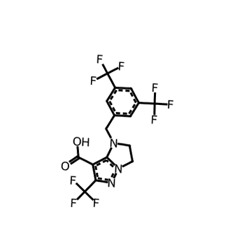 O=C(O)c1c(C(F)(F)F)nn2c1N(Cc1cc(C(F)(F)F)cc(C(F)(F)F)c1)CC2